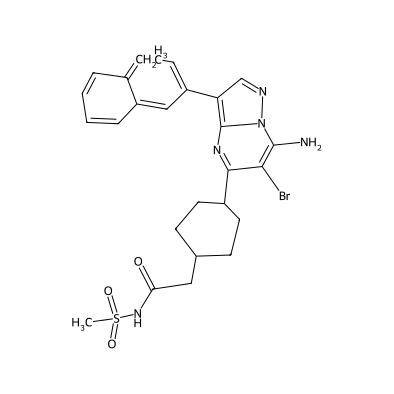 C=c1cccc/c1=C/C(=C\C)c1cnn2c(N)c(Br)c(C3CCC(CC(=O)NS(C)(=O)=O)CC3)nc12